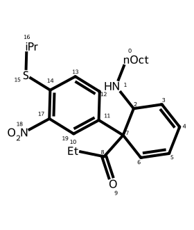 CCCCCCCCNC1C=CC=CC1(C(=O)CC)c1ccc(SC(C)C)c([N+](=O)[O-])c1